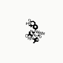 CNC(=O)Oc1scc(C)c1Nc1nc(Nc2ccc3c(c2)C(C)(C)NC(=O)CC3)ncc1Cl